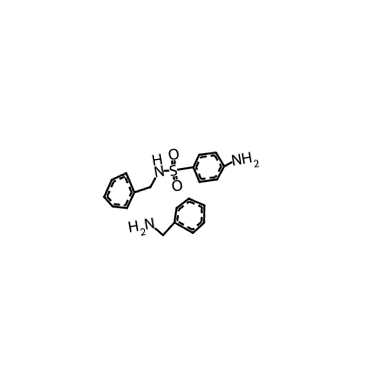 NCc1ccccc1.Nc1ccc(S(=O)(=O)NCc2ccccc2)cc1